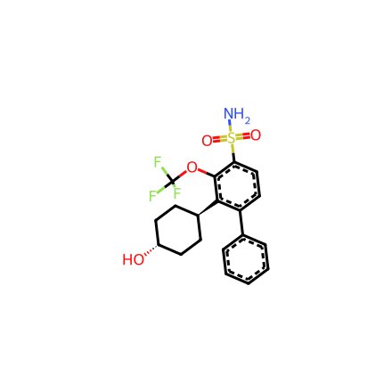 NS(=O)(=O)c1ccc(-c2ccccc2)c([C@H]2CC[C@H](O)CC2)c1OC(F)(F)F